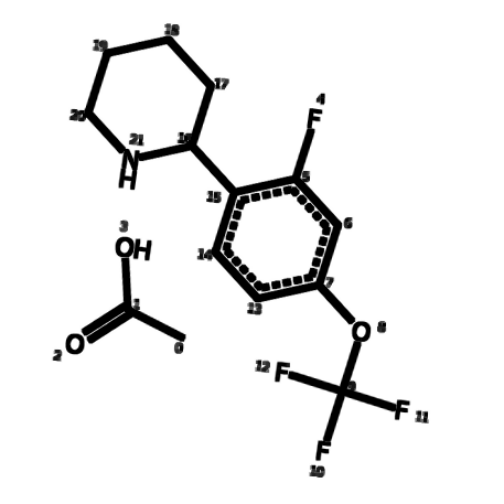 CC(=O)O.Fc1cc(OC(F)(F)F)ccc1C1CCCCN1